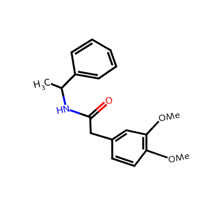 COc1ccc(CC(=O)NC(C)c2ccccc2)cc1OC